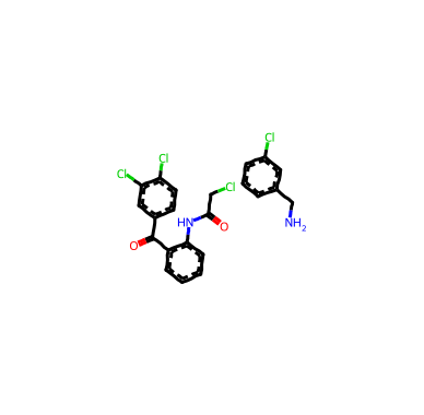 NCc1cccc(Cl)c1.O=C(CCl)Nc1ccccc1C(=O)c1ccc(Cl)c(Cl)c1